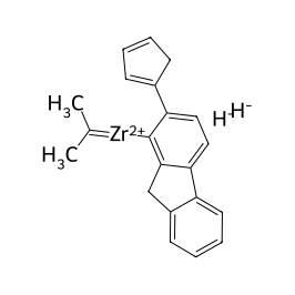 C[C](C)=[Zr+2][c]1c(C2=CC=CC2)ccc2c1Cc1ccccc1-2.[H-].[H-]